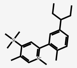 CCC(CC)c1ccc(C)c(-c2cc([Si](C)(C)C)c(C)c[n+]2C)c1